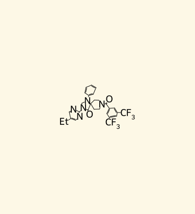 CCc1cnc(N2CN(c3ccccc3)C3(CCN(C(=O)c4cc(C(F)(F)F)cc(C(F)(F)F)c4)CC3)C2=O)nc1